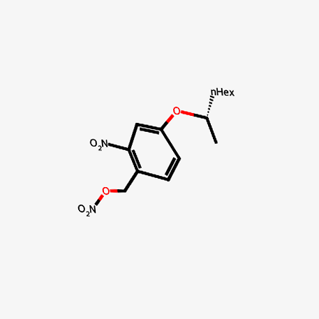 CCCCCC[C@H](C)Oc1ccc(CO[N+](=O)[O-])c([N+](=O)[O-])c1